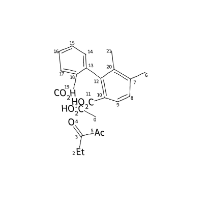 CC(=O)O.CCC(=O)C(C)=O.Cc1ccc(C(=O)O)c(-c2ccccc2C(=O)O)c1C